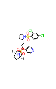 O=S(=O)(CCC[C@@H]1CCCN1S(=O)(=O)c1ccc(Cl)cc1Cl)N1[C@@H]2CC[C@H]1C[C@H](Oc1ccncc1)C2